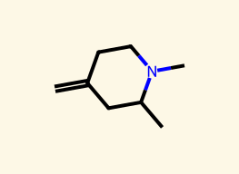 C=C1CCN(C)C(C)C1